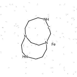 C1CNCCN2CCCNCCN(C1)CC2.[Fe]